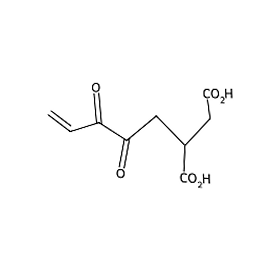 C=CC(=O)C(=O)CC(CC(=O)O)C(=O)O